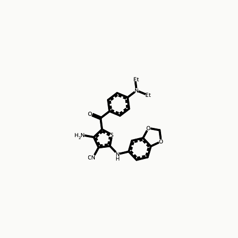 [C-]#[N+]c1c(Nc2ccc3c(c2)OCO3)sc(C(=O)c2ccc(N(CC)CC)cc2)c1N